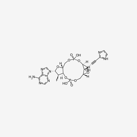 Nc1ncnc2c1ncn2[C@@H]1O[C@@H]2COP(=O)(O)O[C@@H]3[C@H](O)[C@@H](COP(=O)(O)O[C@H]2[C@H]1F)O[C@H]3C#Cc1ncc[nH]1